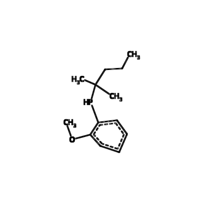 CCCC(C)(C)Pc1ccccc1OC